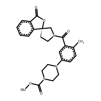 Cc1ccc(N2CCN(C(=O)OC(C)(C)C)CC2)cc1C(=O)N1CC[C@@]2(C1)OC(=O)c1ccccc12